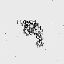 COC(=O)C1=C(C)NC(C)=C(C(=O)OCc2ccc(CN3CCCCC3)o2)C1c1ccccc1F